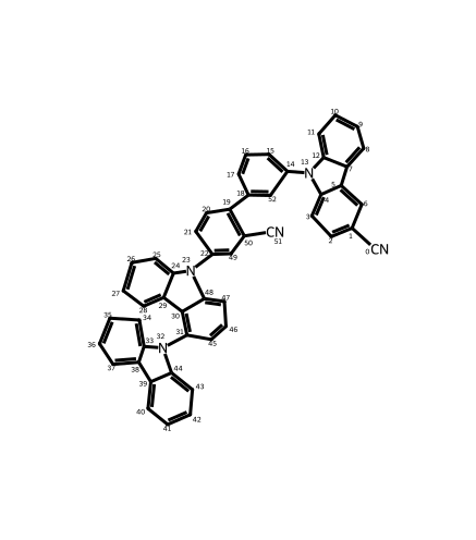 N#Cc1ccc2c(c1)c1ccccc1n2-c1cccc(-c2ccc(-n3c4ccccc4c4c(-n5c6ccccc6c6ccccc65)cccc43)cc2C#N)c1